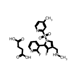 CNCc1cn(S(=O)(=O)c2cc(C)ccn2)c(-c2cccnc2F)c1F.O=C(O)CCC(=O)O